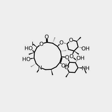 CN[C@H]1C[C@@H](C)O[C@@H](O/C2=C(\O)C[C@@H](C)CN(C)[C@H](C)[C@@H](O)[C@](C)(O)[C@@H](I)OC(=O)[C@H](C)[C@@H](O[C@H]3C[C@@](C)(OC)[C@@H](O)[C@H](C)O3)[C@@H]2C)[C@@H]1O